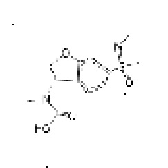 CN=S(C)(=O)c1ccc2c(c1)OC[C@H]2N(C)C(=O)O